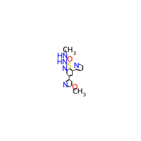 CCNC(=O)Nc1nc2cc(-c3cncc(OC)c3)cc(-c3ccccn3)c2s1